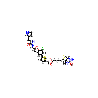 CC(OC(=O)CCCC[C@@H]1SC[C@@H]2NC(=O)N[C@@H]21)c1ccc(-c2cc(Cl)c3c(c2)CC(CNC(=O)/C=C/c2cccnc2)O3)s1